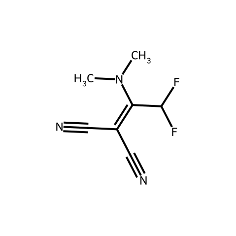 CN(C)C(=C(C#N)C#N)C(F)F